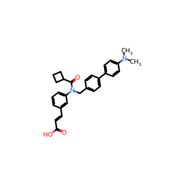 CN(C)c1ccc(-c2ccc(CN(C(=O)C3CCC3)c3cccc(C=CC(=O)O)c3)cc2)cc1